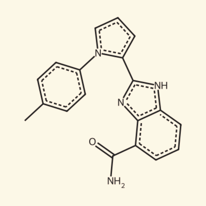 Cc1ccc(-n2cccc2-c2nc3c(C(N)=O)cccc3[nH]2)cc1